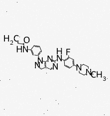 C=CC(=O)Nc1cccc(-n2ncc3cnc(Nc4ccc(N5CCN(C)CC5)cc4F)nc32)c1